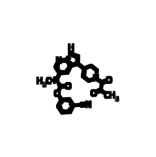 CC(=O)C(=O)N1CC=C(c2c[nH]c3ncc(N(C)C(=O)Oc4cccc(C#N)c4)cc23)CC1